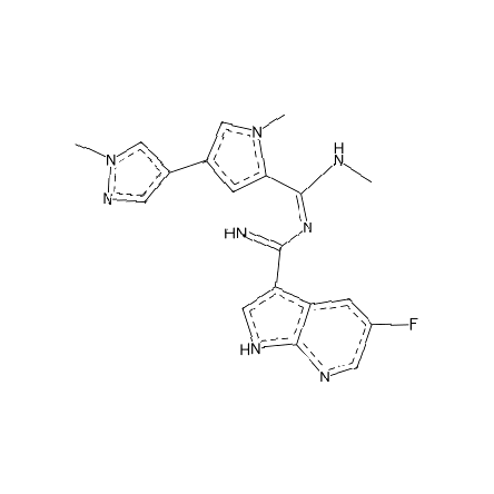 CN/C(=N/C(=N)c1c[nH]c2ncc(F)cc12)c1cc(-c2cnn(C)c2)cn1C